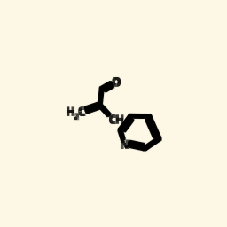 C=C(C)C=O.c1ccncc1